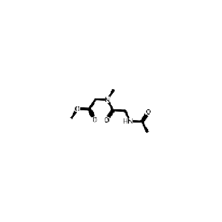 COC(=O)CN(C)C(=O)CNC(C)=O